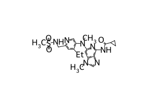 CCc1cc(CNS(C)(=O)=O)ncc1N(C)c1cc2c(ncn2C)c(NC(=O)C2CC2)n1